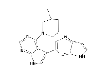 CC1CCCN(c2ncnc3[nH]cc(-c4cnc5cc[nH]c5c4)c23)C1